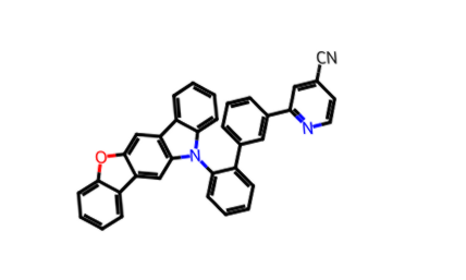 N#Cc1ccnc(-c2cccc(-c3ccccc3-n3c4ccccc4c4cc5oc6ccccc6c5cc43)c2)c1